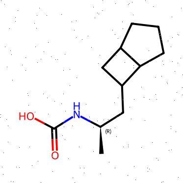 C[C@H](CC1CC2CCCC21)NC(=O)O